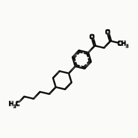 CCCCCC1CCC(c2ccc(C(=O)CC(C)=O)cc2)CC1